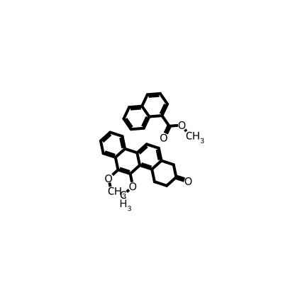 COC(=O)c1cccc2ccccc12.COc1c(OC)c2c3c(ccc2c2ccccc12)CC(=O)CC3